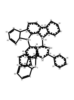 C1=CC2Sc3ccc(N4c5c(ccc6c7ccccc7n(-c7nc(-c8ccccc8)nc(-c8ccccc8)n7)c56)C5C=CC=CC54)cc3C2C=C1